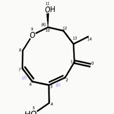 C=C1/C=C(CO)\C=C/CO[C@@H](O)CC1C